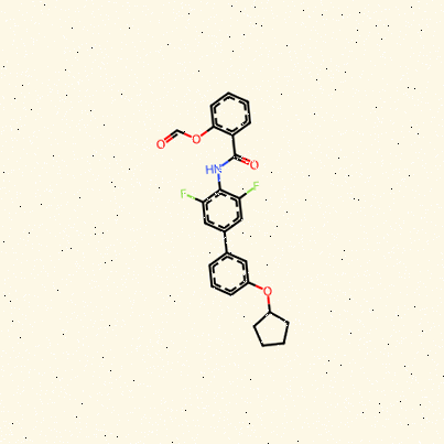 O=COc1ccccc1C(=O)Nc1c(F)cc(-c2cccc(OC3CCCC3)c2)cc1F